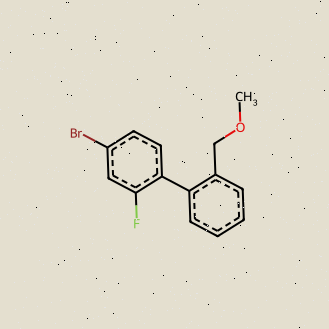 COCc1ccccc1-c1ccc(Br)cc1F